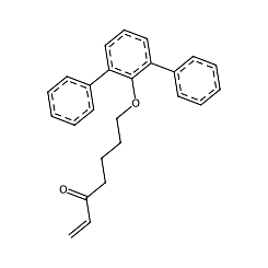 C=CC(=O)CCCCOc1c(-c2ccccc2)cccc1-c1ccccc1